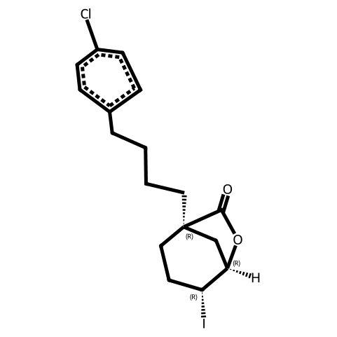 O=C1O[C@@H]2C[C@@]1(CCCCc1ccc(Cl)cc1)CC[C@H]2I